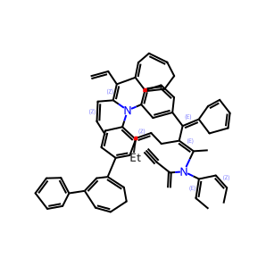 C#CC(=C)N(C(/C=C\C)=C/C)/C(C)=C(C/C=C\CC)/C(=C1/C=CC=CC1)c1cccc(N(C(/C=C\C)=C(/C=C)C2=CC=CCC=C2)c2ccc(C3=CCC=CC(c4ccccc4)=C3)cc2)c1